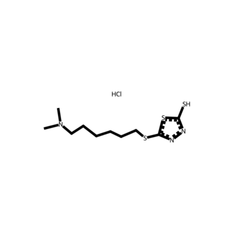 CN(C)CCCCCCSc1nnc(S)s1.Cl